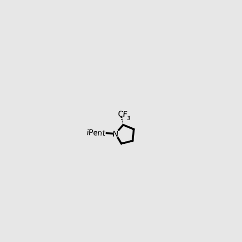 CCCC(C)N1CCC[C@H]1C(F)(F)F